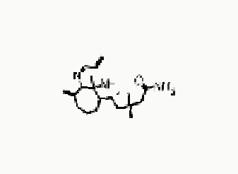 C=C/C=N\[C@H]1C(=C)CCCC(CCC(C)(C)CC(N)=O)C1(C)N